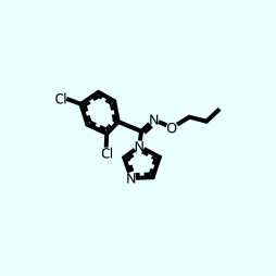 CCCON=C(c1ccc(Cl)cc1Cl)n1ccnc1